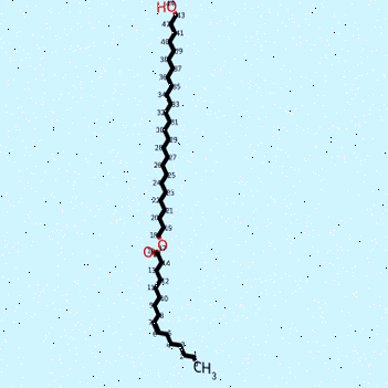 CCCCCC/C=C\CCCCCCCC(=O)OCCCCCCCCCCCCCCCCCCCCCCCCCCO